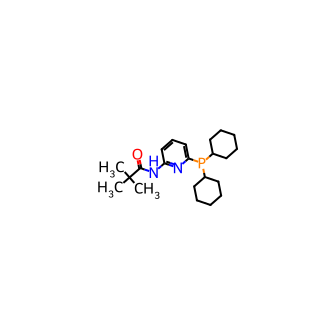 CC(C)(C)C(=O)Nc1cccc(P(C2CCCCC2)C2CCCCC2)n1